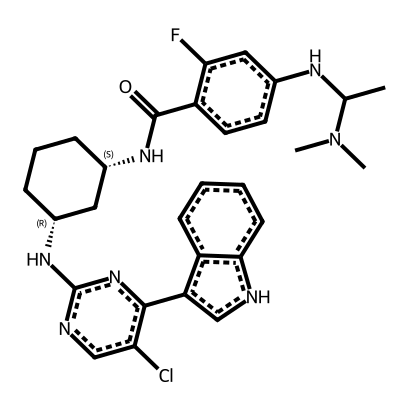 CC(Nc1ccc(C(=O)N[C@H]2CCC[C@@H](Nc3ncc(Cl)c(-c4c[nH]c5ccccc45)n3)C2)c(F)c1)N(C)C